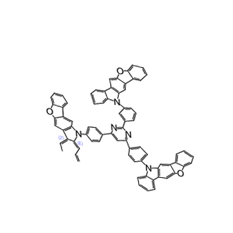 C=C/C=c1\c(=C/C)c2cc3oc4ccccc4c3cc2n1-c1ccc(-c2cc(-c3ccc(-n4c5ccccc5c5cc6oc7ccccc7c6cc54)cc3)nc(-c3cccc(-n4c5ccccc5c5cc6oc7ccccc7c6cc54)c3)n2)cc1